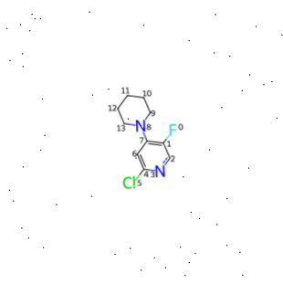 Fc1cnc(Cl)cc1N1CCCCC1